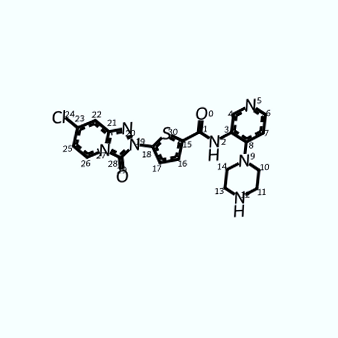 O=C(Nc1cnccc1N1CCNCC1)c1ccc(-n2nc3cc(Cl)ccn3c2=O)s1